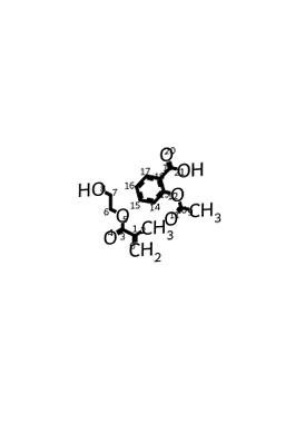 C=C(C)C(=O)OCCO.CC(=O)Oc1ccccc1C(=O)O